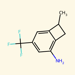 CC1Cc2c(N)cc(C(F)(F)F)cc21